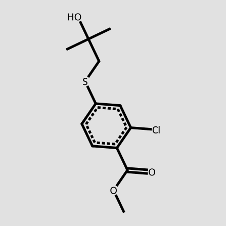 COC(=O)c1ccc(SCC(C)(C)O)cc1Cl